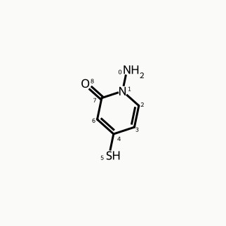 Nn1ccc(S)cc1=O